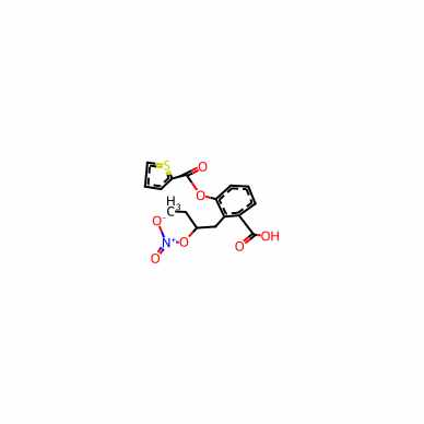 CCC(Cc1c(OC(=O)c2cccs2)cccc1C(=O)O)O[N+](=O)[O-]